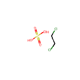 ClCCCl.O=S(=O)(O)O